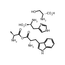 C[C@H](N)C(=O)OC(=O)[C@@H](N)Cc1c[nH]c2ccccc12.N[C@@H](Cc1c[nH]cn1)C(=O)O.N[C@H](CO)C(=O)O